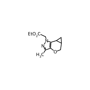 CCOC(=O)Cn1nc(C)c2c1C1CC1CO2